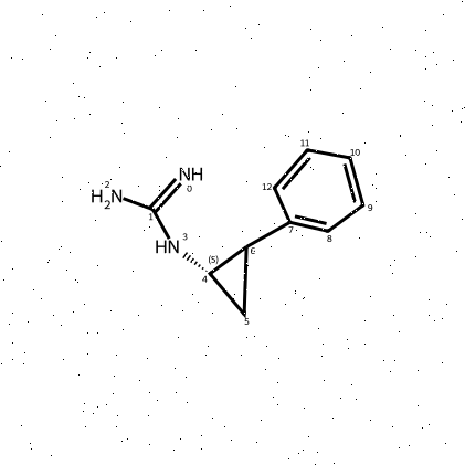 N=C(N)N[C@H]1CC1c1ccccc1